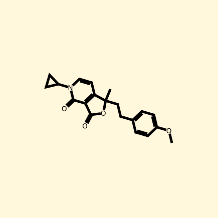 COc1ccc(CCC2(C)OC(=O)c3c2ccn(C2CC2)c3=O)cc1